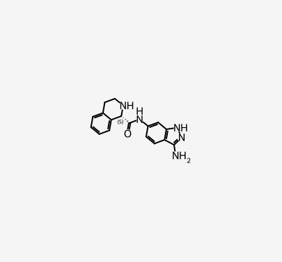 Nc1n[nH]c2cc(NC(=O)[C@H]3NCCc4ccccc43)ccc12